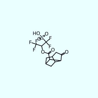 O=C(OC(C(F)(F)F)C(F)(F)S(=O)(=O)O)C1C2CC3CC(=O)C1C3C2